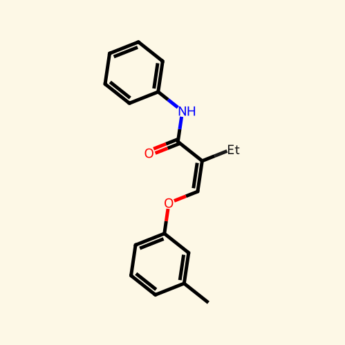 CCC(=COc1cccc(C)c1)C(=O)Nc1ccccc1